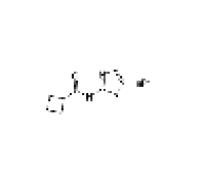 CCCc1cnc([N]C(=O)C2CCC2)s1